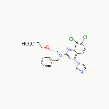 O=C(O)CCOCCN(Cc1ccccc1)c1cc(-n2ccnc2)c2ccc(Cl)c(Cl)c2n1